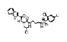 O=C(N[C@@H](CC(Cl)Cl)C(=O)NCCCNS(=O)(=O)c1ccc(Cl)cc1Cl)c1cc2ccccc2s1